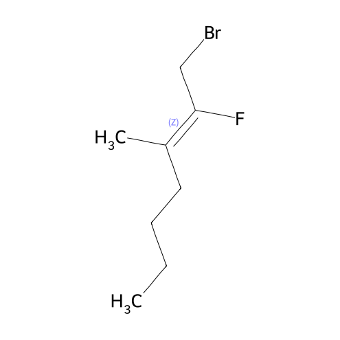 CCCC/C(C)=C(\F)CBr